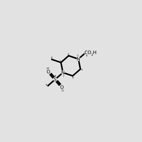 CC1CN(C(=O)O)CCN1S(C)(=O)=O